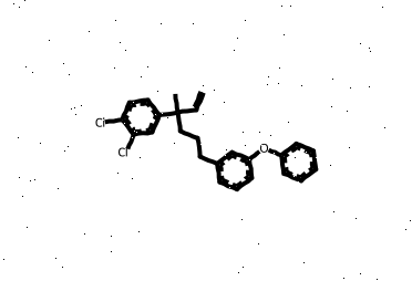 C=CC(C)(CCCc1cccc(Oc2ccccc2)c1)c1ccc(Cl)c(Cl)c1